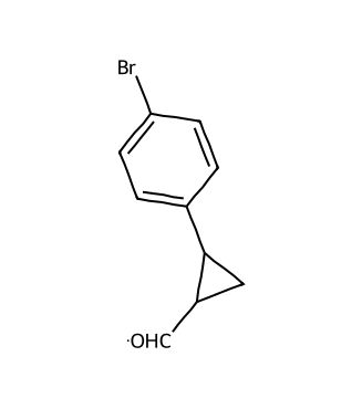 O=[C]C1CC1c1ccc(Br)cc1